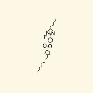 CCCCCCCCCc1ccc(C(=O)Oc2ccc(-c3ncc(CCCCC)cn3)c(F)c2)cc1